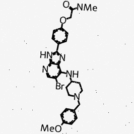 CNC(=O)COc1ccc(-c2nc3c(NC4CCN(Cc5ccc(OC)cc5)CC4)c(Br)cnc3[nH]2)cc1